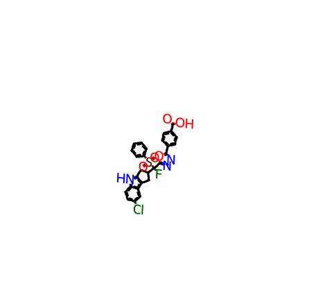 O=C(O)c1ccc(-c2nnc(C(F)(C3Cc4[nH]c5ccc(Cl)cc5c4C3)S(=O)(=O)c3ccccc3)o2)cc1